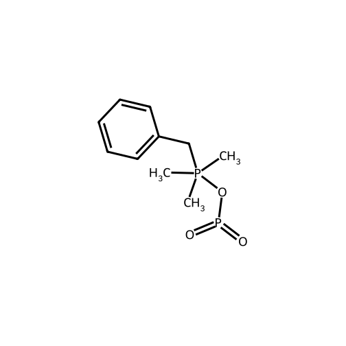 CP(C)(C)(Cc1ccccc1)OP(=O)=O